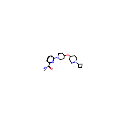 CNC(=O)c1cccc(N2CCC(OC3CCN(C4CCC4)CC3)CC2)n1